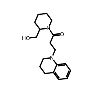 O=C(CCN1CCCc2ccccc21)N1CCCCC1CO